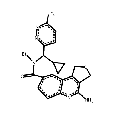 CCN(C(=O)c1ccc2nc(N)c3c(c2c1)COC3)C(c1ccc(C(F)(F)F)nn1)C1CC1